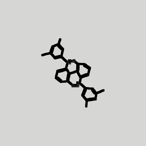 COc1cccc(Pc2cc(C)cc(C)c2)c1-c1c(OC)cccc1Pc1cc(C)cc(C)c1